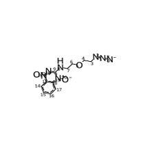 [N-]=[N+]=NCCOCCNc1n[n+]([O-])c2ccccc2[n+]1[O-]